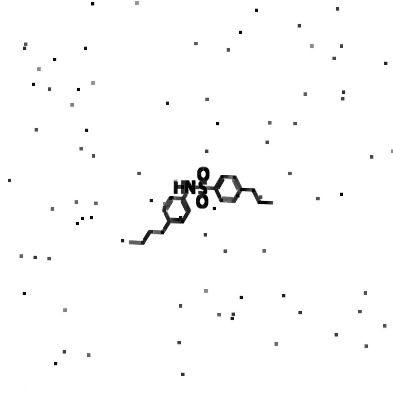 CCCCc1ccc(NS(=O)(=O)c2ccc(CCC)cc2)cc1